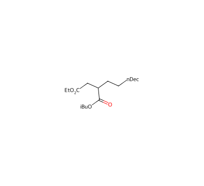 CCCCCCCCCCCCC(CC(=O)OCC)C(=O)OCC(C)C